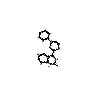 Cc1nc(-c2cccc(-c3ccccc3)c2)c2ccccc2n1